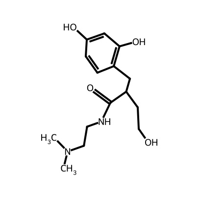 CN(C)CCNC(=O)C(CCO)Cc1ccc(O)cc1O